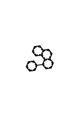 [c]1ccc(-c2ccccc2)c2c1ccc1ccccc12